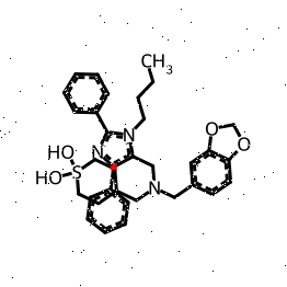 CCCCn1c(-c2ccccc2)nc(-c2ccccc2)c1CN(Cc1ccc2c(c1)OCO2)CC1CCS(O)(O)CC1